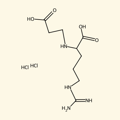 Cl.Cl.N=C(N)NCCCC(NCCC(=O)O)C(=O)O